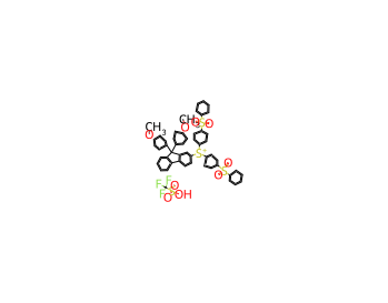 COc1ccc(C2(c3ccc(OC)cc3)c3ccccc3-c3ccc([S+](c4ccc(S(=O)(=O)c5ccccc5)cc4)c4ccc(S(=O)(=O)c5ccccc5)cc4)cc32)cc1.O=S(=O)(O)C(F)(F)F